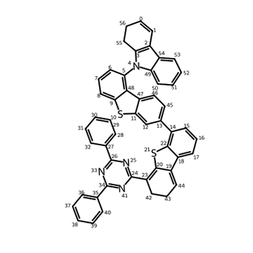 C1=Cc2c(n(-c3cccc4sc5cc(-c6cccc7c8c(sc67)=C(c6nc(-c7ccccc7)nc(-c7ccccc7)n6)CCC=8)ccc5c34)c3ccccc23)CC1